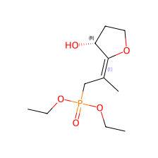 CCOP(=O)(C/C(C)=C1/OCC[C@H]1O)OCC